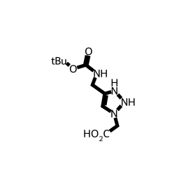 CC(C)(C)OC(=O)NCC1=CN(CC(=O)O)NN1